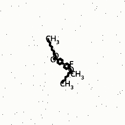 CCCCCCCCOC(=O)c1ccc(-c2ccc(O[C@@H](C)CCCCCC)c(F)c2)cc1